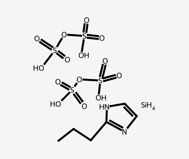 CCCc1ncc[nH]1.O=S(=O)(O)OS(=O)(=O)O.O=S(=O)(O)OS(=O)(=O)O.[SiH4]